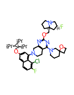 CC(C)[Si](Oc1cc(N2CCc3c(nc(OC[C@@]45CCCN4C[C@H](F)C5)nc3N3CCCC4(CCO4)C3)C2)c2c(Cl)c(F)ccc2c1)(C(C)C)C(C)C